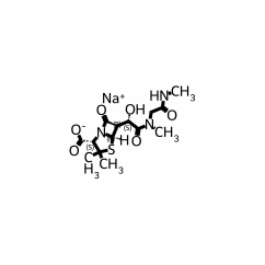 CNC(=O)CN(C)C(=O)[C@@H](O)[C@@H]1C(=O)N2[C@@H]1SC(C)(C)[C@@H]2C(=O)[O-].[Na+]